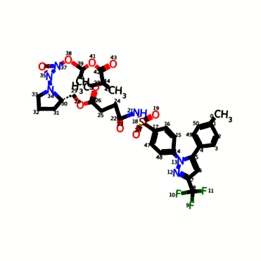 Cc1ccc(-c2cc(C(F)(F)F)nn2-c2ccc(S(=O)(=O)NC(=O)CCC(=O)OC[C@@H]3CCCN3n3on3OC(C)OC(=O)C(C)C)cc2)cc1